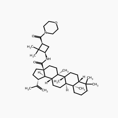 C=C(C)[C@@H]1CC[C@]2(C(=O)N[C@@H]3C[C@H](C(=O)N4CCOCC4)C3(C)C)CC[C@]3(C)[C@H](CC[C@@H]4[C@]5(C)CC[CH]C(C)(C)[C@H]5CC[C@]43C)[C@@H]12